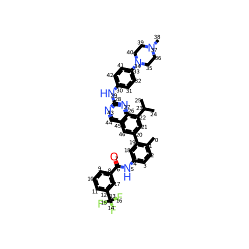 Cc1ccc(NC(=O)c2cccc(C(F)(F)F)c2)cc1-c1cc(C(C)C)c2nc(Nc3ccc(N4CCN(C)CC4)cc3)ncc2c1